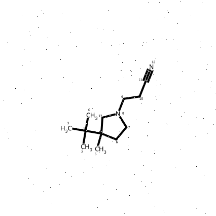 CC(C)(C)C1(C)CCN(CCC#N)C1